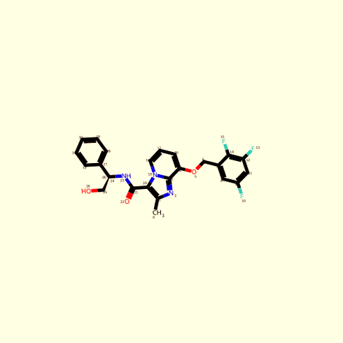 Cc1nc2c(OCc3cc(F)cc(F)c3F)cccn2c1C(=O)N[C@@H](CO)c1ccccc1